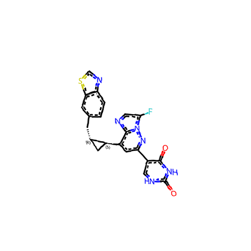 O=c1[nH]cc(-c2cc([C@H]3C[C@@H]3Cc3ccc4ncsc4c3)c3ncc(F)n3n2)c(=O)[nH]1